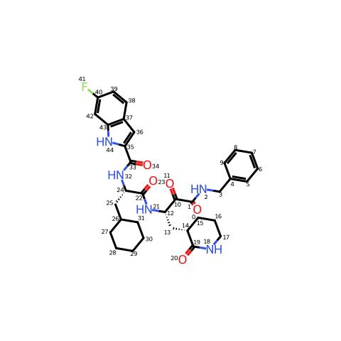 O=C(NCc1ccccc1)C(=O)[C@H](C[C@@H]1CCCNC1=O)NC(=O)[C@H](CC1CCCCC1)NC(=O)c1cc2ccc(F)cc2[nH]1